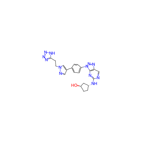 O[C@@H]1CC[C@@H](Nc2ncc3nnn(-c4ccc(-c5cnn(CCc6nnn[nH]6)c5)cc4)c3n2)C1